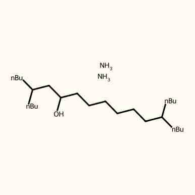 CCCCC(CCCC)CCCCCCC(O)CC(CCCC)CCCC.N.N